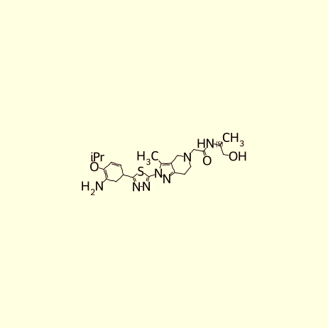 Cc1c2c(nn1-c1nnc(C3C=CC(OC(C)C)=C(N)C3)s1)CCN(CC(=O)N[C@@H](C)CO)C2